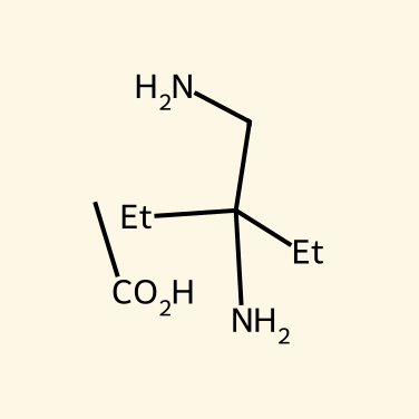 CC(=O)O.CCC(N)(CC)CN